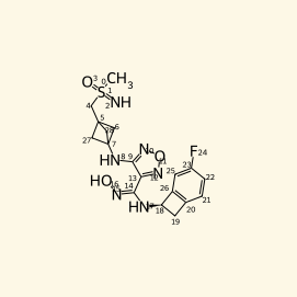 CS(=N)(=O)CC12CC(Nc3nonc3/C(=N\O)N[C@@H]3Cc4ccc(F)cc43)(C1)C2